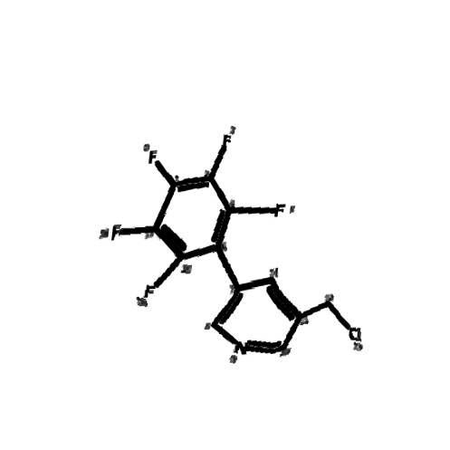 Fc1c(F)c(F)c(-c2cncc(CCl)c2)c(F)c1F